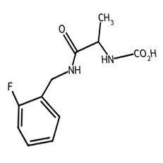 CC(NC(=O)O)C(=O)NCc1ccccc1F